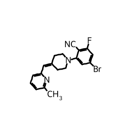 Cc1cccc(C=C2CCN(c3cc(Br)cc(F)c3C#N)CC2)n1